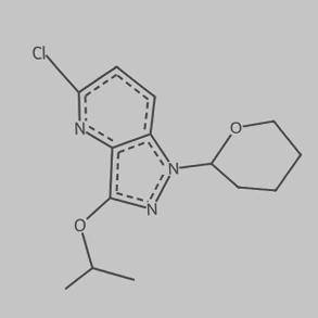 CC(C)Oc1nn(C2CCCCO2)c2ccc(Cl)nc12